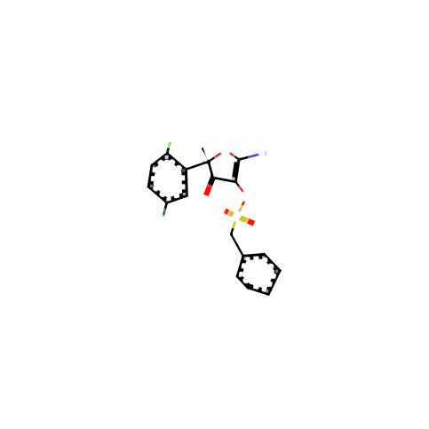 [2H][C@@]1(c2cc(Cl)ccc2F)OC(N)=C(OS(=O)(=O)Cc2ccccc2)C1=O